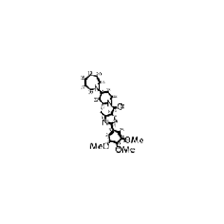 COc1cc(-c2nc(C)c(C(=O)N3CCC(N4CCCCCC4)CC3)s2)cc(OC)c1OC